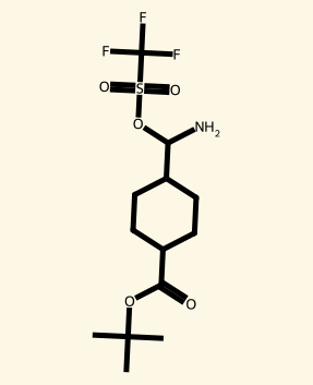 CC(C)(C)OC(=O)C1CCC(C(N)OS(=O)(=O)C(F)(F)F)CC1